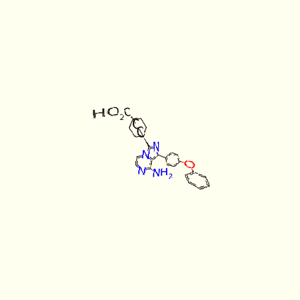 Nc1nccn2c1c(-c1ccc(Oc3ccccc3)cc1)nc2[C@]12CC[C@](C(=O)O)(CC1)CC2